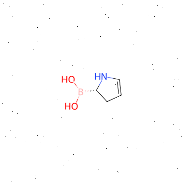 OB(O)[C@H]1CC=CN1